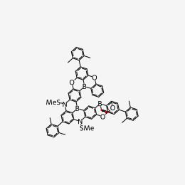 CSN1c2cc3c(cc2B2c4cc5c(cc4N(SC)c4cc(-c6c(C)cccc6C)cc1c42)Oc1cc(-c2c(C)cccc2C)cc2c1B5c1ccccc1O2)B1c2ccccc2Oc2cc(-c4c(C)cccc4C)cc(c21)O3